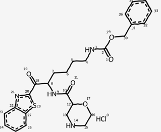 Cl.O=C(NCCCCC(NC(=O)C1CNCCO1)C(=O)c1nc2ccccc2s1)OCc1ccccc1